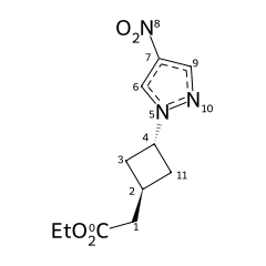 CCOC(=O)C[C@H]1C[C@H](n2cc([N+](=O)[O-])cn2)C1